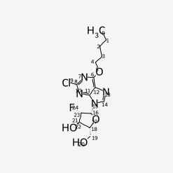 CCCCCOc1nc(Cl)nc2c1ncn2[C@@H]1O[C@H](CO)[C@@H](O)[C@@H]1F